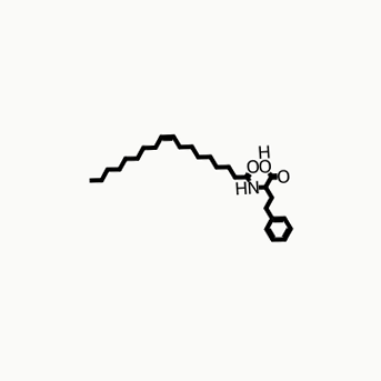 CCCCCCCC/C=C\CCCCCCCC(=O)NC(CCc1ccccc1)C(=O)O